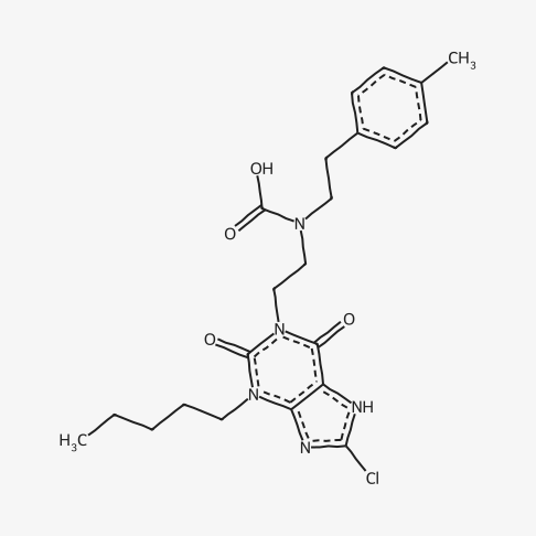 CCCCCn1c(=O)n(CCN(CCc2ccc(C)cc2)C(=O)O)c(=O)c2[nH]c(Cl)nc21